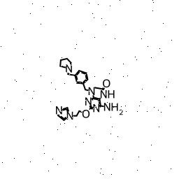 Nc1nc(OCCn2ccnc2)nc2c1NC(=O)CN2Cc1cccc(CN2CCCC2)c1